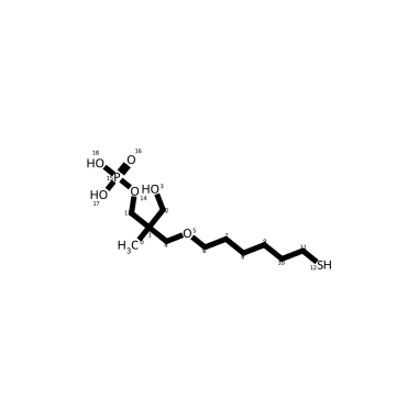 CC(CO)(COCCCCCCS)COP(=O)(O)O